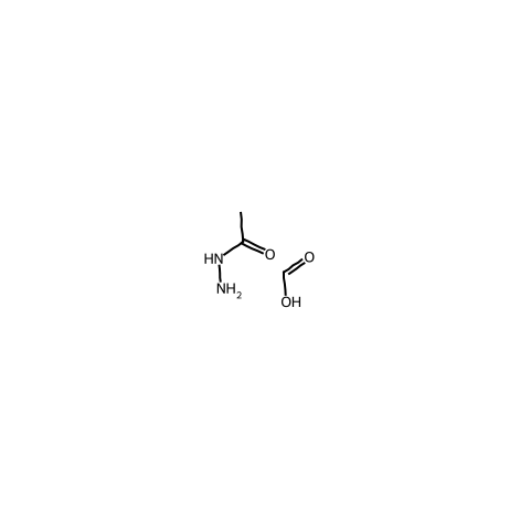 CC(=O)NN.O=CO